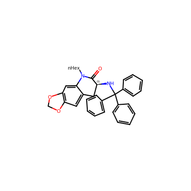 CCCCCCN1C(=O)[C@@H](NC(c2ccccc2)(c2ccccc2)c2ccccc2)Cc2cc3c(cc21)OCO3